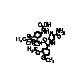 COc1ccc([C@@H](Nc2ccnc(C(N)=O)c2)C(=O)N2CCC[C@@H]2c2cc(NC(=O)O)ccc2S(=O)(=O)C(C)C)cc1OC